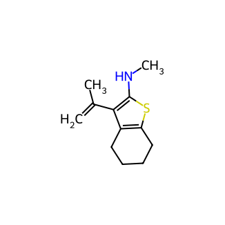 C=C(C)c1c(NC)sc2c1CCCC2